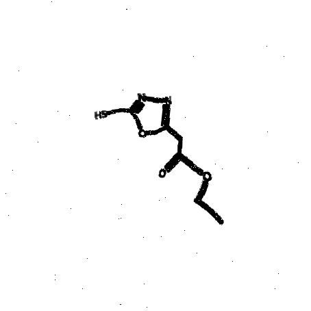 CCOC(=O)Cc1nnc(S)o1